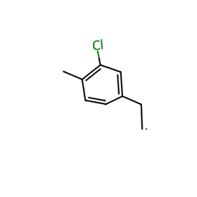 [CH2]Cc1ccc(C)c(Cl)c1